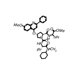 CCCC(NC(=O)[C@@H]1C[C@@H](Oc2cc(-c3ccccc3)nc3cc(OC)ccc23)CN1C(=O)N[C@H](C(=O)N(C)C1CCCCC1)C(C)C)C(=O)OC